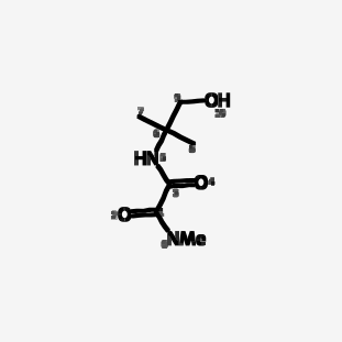 CNC(=O)C(=O)NC(C)(C)CO